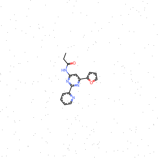 CCC(=O)Nc1cc(-c2ccco2)nc(-c2ccccn2)n1